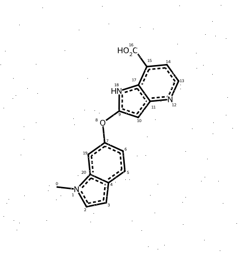 Cn1ccc2ccc(Oc3cc4nccc(C(=O)O)c4[nH]3)cc21